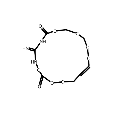 N=C1NCC(=O)OCC/C=C/CCCCCCC(=O)N1